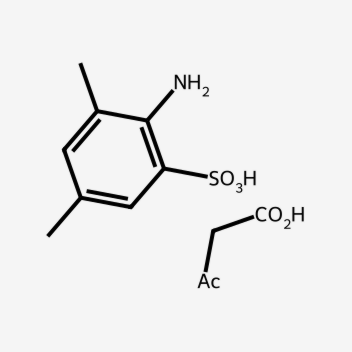 CC(=O)CC(=O)O.Cc1cc(C)c(N)c(S(=O)(=O)O)c1